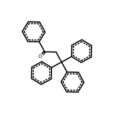 O=C(CC(c1ccccc1)(c1ccccc1)c1ccccc1)c1ccccc1